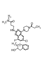 CCC(=O)N1CCN(c2nc(NCCC(=O)N(C)C)nc3c(F)c([C@@H]4c5ccccc5CC(O)[C@@H]4C)c(Cl)cc23)CC1